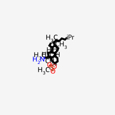 CC(C)CCC[C@@H](C)[C@H]1CC[C@H]2[C@@H]3CC(C(C)(C)N)=C4C[C@@H](OS(C)(=O)=O)CC[C@]4(C)[C@H]3CC[C@]12C